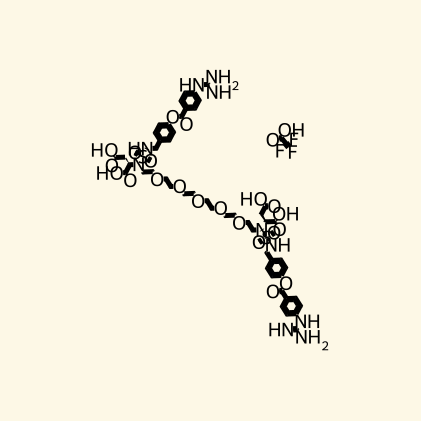 N=C(N)Nc1ccc(C(=O)Oc2ccc(CNS(=O)(=O)N(CCOCCOCCOCCOCCOCCN([C@@H](CC(=O)O)C(=O)O)S(=O)(=O)NCc3ccc(OC(=O)c4ccc(NC(=N)N)cc4)cc3)[C@@H](CC(=O)O)C(=O)O)cc2)cc1.O=C(O)C(F)(F)F